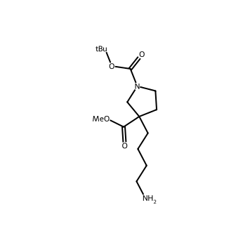 COC(=O)C1(CCCCN)CCN(C(=O)OC(C)(C)C)C1